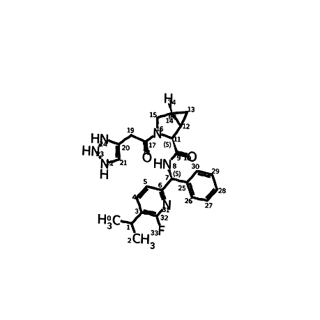 CC(C)c1ccc([C@@H](NC(=O)[C@@H]2C3C[C@H]3CN2C(=O)CC2=CNNN2)c2ccccc2)nc1F